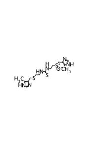 Cc1[nH]cnc1CSCCNC(=S)NCC[S+]([O-])Cc1nc[nH]c1C